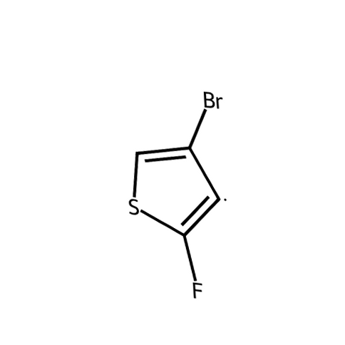 Fc1[c]c(Br)cs1